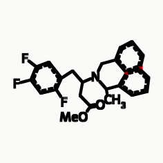 COC(=O)CC(Cc1cc(F)c(F)cc1F)N(Cc1ccccc1)C(C)c1ccccc1